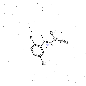 CCCC[S+]([O-])/N=C(\C)c1cc(Br)ccc1F